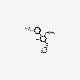 CC(=O)OCc1cc(O[C@@H]2CCOC2)cc(C)c1-c1cccc(CO)c1